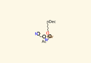 Br.CCCCCCCCCCCCCCCCOc1cccc(CN(C(C)=O)c2cccc(Cc3cccnc3)c2)c1